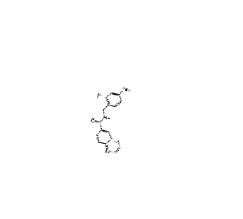 O=C(NCc1ccc(O)cc1F)c1ccc2ncccc2c1